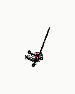 C#CC#CC#CC#CC#CC#CC#CC#CC#CC#CC#CC#CCC(=O)N[C@@H](CO[C@H]1OC(COCSSCN=[N+]=[N-])[C@H](OCc2ccccc2)[C@H](C)C1OCc1ccccc1)[C@H](O)[C@H](O)COCCC1CCCCC1